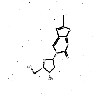 Cc1cc2cn([C@H]3C[C@H](O)[C@@H](CO)O3)c(=O)nc2o1